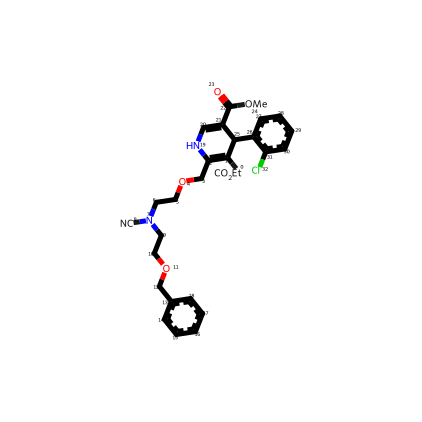 CCOC(=O)C1=C(COCCN(C#N)CCOCc2ccccc2)NC=C(C(=O)OC)C1c1ccccc1Cl